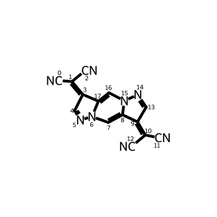 N#CC(C#N)=c1cnn2cc3c(=C(C#N)C#N)cnn3cc12